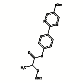 CCCCCCCCCCc1cnc(-c2ccc(OC(=O)C(C)OCCCCCCCC)cc2)nc1